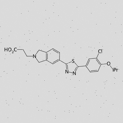 CC(C)Oc1ccc(-c2nnc(-c3ccc4c(c3)CN(CCC(=O)O)C4)s2)cc1Cl